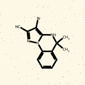 CC1(C)Nc2c(Br)c(C#N)nn2-c2ccccc21